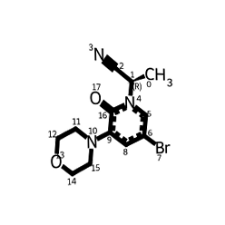 C[C@H](C#N)n1cc(Br)cc(N2CCOCC2)c1=O